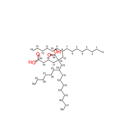 CCCCCCCCC(CCCCCC)CC(CCCC(=O)O)(CC(CCCCCC)CCCCCCCC)C(=O)O